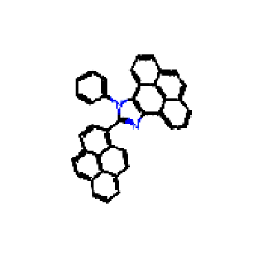 c1ccc(-n2c(-c3ccc4ccc5cccc6ccc3c4c56)nc3c4cccc5ccc6cccc(c6c54)c32)cc1